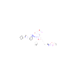 CC(C)n1c(O[C@@H]2C[C@@H](C(N)=O)N(C(=O)[C@H](CCCCC/C=C\[C@@H]3C[C@]3(I)C(=O)NS(=O)(=O)C3(C)CC3)NC(=O)O[C@@H]3C[C@@H]4C[C@@H]4C3)C2)nc2c(-c3nc(-c4ccccc4)cs3)cccc21